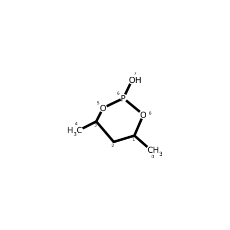 CC1CC(C)OP(O)O1